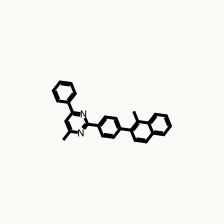 Cc1cc(-c2ccccc2)nc(-c2ccc(-c3ccc4ccccc4c3C)cc2)n1